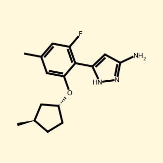 Cc1cc(F)c(-c2cc(N)n[nH]2)c(O[C@@H]2CC[C@@H](C)C2)c1